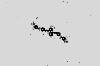 COc1cc(C(=O)Oc2ccc(C=CC(=O)c3cc(N)ccc3-c3ccc(N)c(C)c3C(=O)C=Cc3ccc(OC(=O)c4ccc(OC(F)(F)F)c(OC)c4)cc3)cc2)ccc1OC(F)(F)F